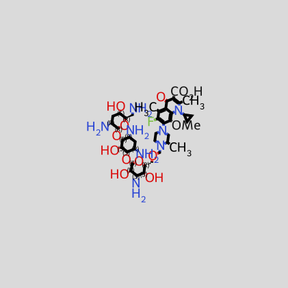 COc1c(N2CCN(COC[C@H]3O[C@H](O[C@@H]4[C@@H](O)[C@H](O[C@H]5O[C@H](CN)[C@@H](O)C[C@H]5N)[C@@H](N)C[C@H]4N)[C@H](O)[C@@H](N)[C@@H]3O)C(C)C2)c(F)c(C)c2c(=O)c(C(=O)O)c(C)n(C3CC3)c12